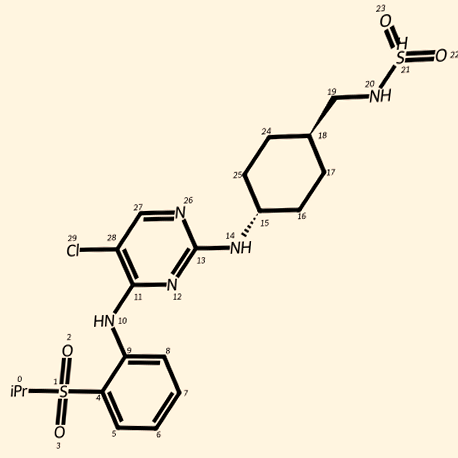 CC(C)S(=O)(=O)c1ccccc1Nc1nc(N[C@H]2CC[C@H](CN[SH](=O)=O)CC2)ncc1Cl